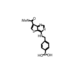 CNC(=O)c1csc2c(NCc3ccc(B(O)O)cc3)ncnc12